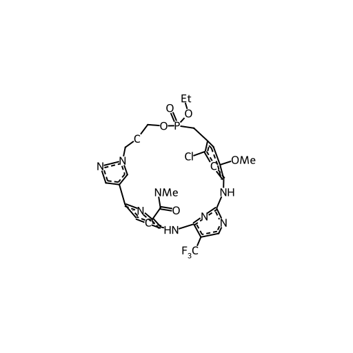 CCOP1(=O)Cc2cc(OC)c(cc2Cl)Nc2ncc(C(F)(F)F)c(n2)Nc2ccc(nc2C(=O)NC)-c2cnn(c2)CCCO1